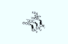 C=CC(=O)[O-].C=CC(=O)[O-].C=CC(=O)[O-].C[C](C)(C)[Sn+3]